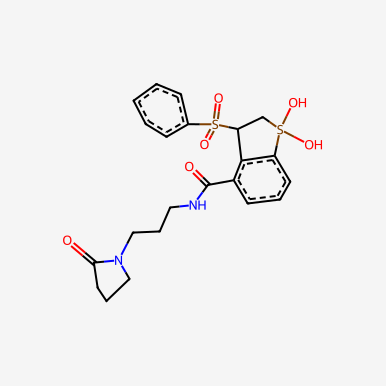 O=C(NCCCN1CCCC1=O)c1cccc2c1C(S(=O)(=O)c1ccccc1)CS2(O)O